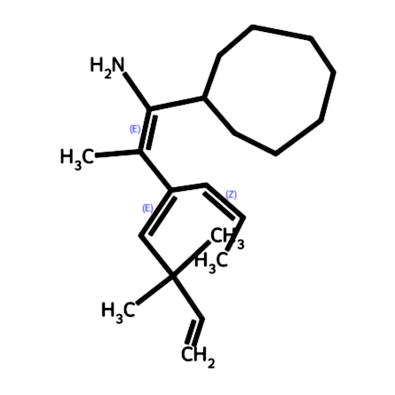 C=CC(C)(C)/C=C(\C=C/C)C(/C)=C(/N)C1CCCCCCC1